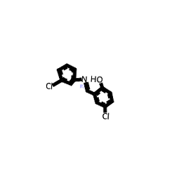 Oc1ccc(Cl)cc1/C=N/c1cccc(Cl)c1